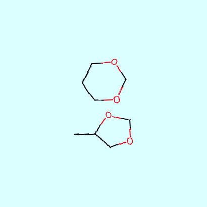 C1COCOC1.CC1COCO1